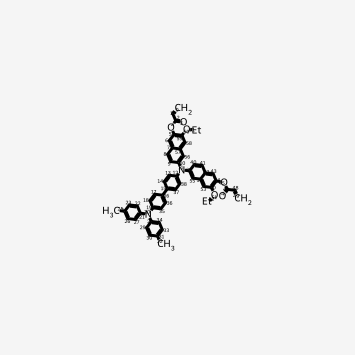 C=CC(=O)Oc1cc2ccc(N(c3ccc(-c4ccc(N(c5ccc(C)cc5)c5ccc(C)cc5)cc4)cc3)c3ccc4cc(OC(=O)C=C)c(OCC)cc4c3)cc2cc1OCC